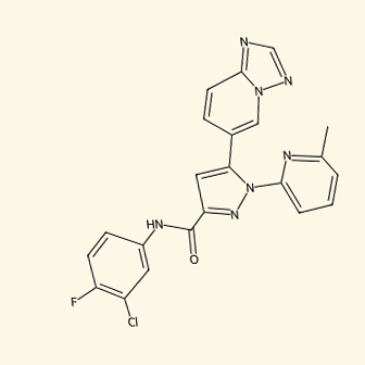 Cc1cccc(-n2nc(C(=O)Nc3ccc(F)c(Cl)c3)cc2-c2ccc3ncnn3c2)n1